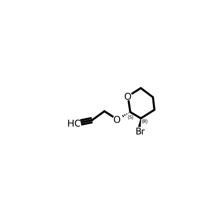 C#CCO[C@@H]1OCCC[C@H]1Br